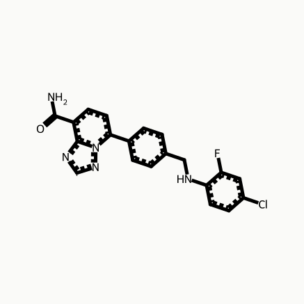 NC(=O)c1ccc(-c2ccc(CNc3ccc(Cl)cc3F)cc2)n2n[c]nc12